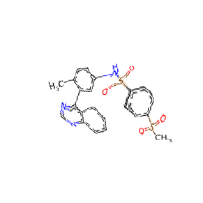 Cc1ccc(NS(=O)(=O)c2ccc(S(C)(=O)=O)cc2)cc1-c1ncnc2ccccc12